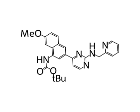 COc1ccc2cc(-c3ccnc(NCc4ccccn4)n3)cc(NC(=O)OC(C)(C)C)c2c1